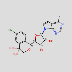 BC1(B)CO[C@@H]([C@H]2O[C@@H](n3ccc4c(C)ncnc43)[C@H](O)[C@@H]2O)c2ccc(Cl)cc21